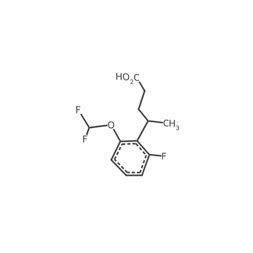 CC(CCC(=O)O)c1c(F)cccc1OC(F)F